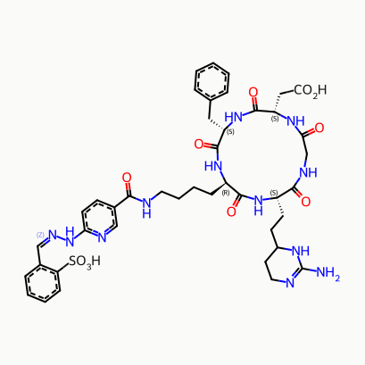 NC1=NCCC(CC[C@@H]2NC(=O)[C@@H](CCCCNC(=O)c3ccc(N/N=C\c4ccccc4S(=O)(=O)O)nc3)NC(=O)[C@H](Cc3ccccc3)NC(=O)[C@H](CC(=O)O)NC(=O)CNC2=O)N1